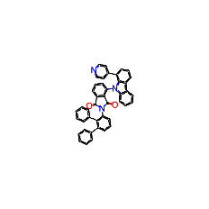 O=C1c2cccc(-n3c4ccccc4c4cccc(-c5ccncc5)c43)c2C(=O)N1c1cccc(-c2ccccc2)c1-c1ccccc1